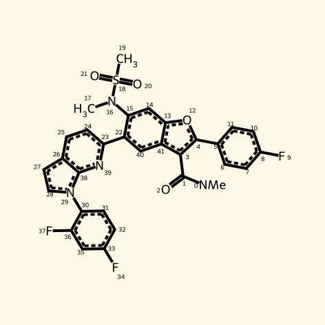 CNC(=O)c1c(-c2ccc(F)cc2)oc2cc(N(C)S(C)(=O)=O)c(-c3ccc4ccn(-c5ccc(F)cc5F)c4n3)cc12